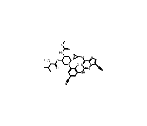 COC(=O)N[C@@H]1CCN(c2cc(C#N)cc(Nc3nc(NC4CC4)c4ncc(C#N)n4n3)c2Cl)C[C@H]1OC(=O)[C@@H](N)C(C)C